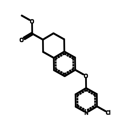 COC(=O)C1CCc2cc(Oc3ccnc(Cl)c3)ccc2C1